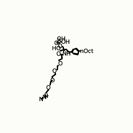 CCCCCCCCc1ccc(CCC(CO)(COP(=O)(O)O)NC(=O)CCOCCOCCOCCOCCN=[N+]=[N-])cc1